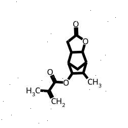 C=C(C)C(=O)OC1C(C)C2CC1C1CC(=O)OC21